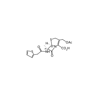 CC(=O)OCC1=C(C(=O)O)N2C(=O)[C@@](C)(NC(=O)Cc3cccs3)[C@H]2SC1